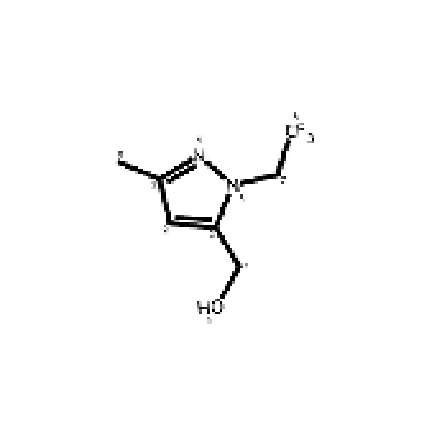 Cc1cc(CO)n(CC(F)(F)F)n1